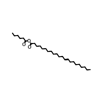 CCCCCCCCC=CCCCCCCCCCCCC(=O)OC(=O)CCCCC